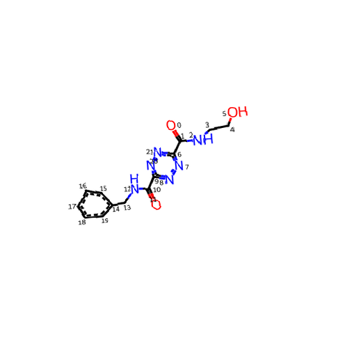 O=C(NCCO)c1nnc(C(=O)NCc2ccccc2)nn1